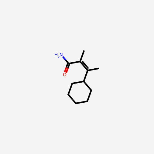 C/C(C(N)=O)=C(\C)C1CCCCC1